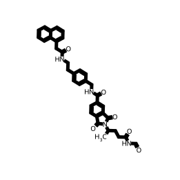 CC(CCC(=O)NC=O)N1C(=O)c2ccc(C(=O)NCc3ccc(CCNC(=O)Cc4cccc5ccccc45)cc3)cc2C1=O